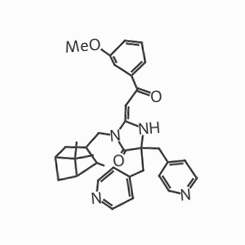 COc1cccc(C(=O)C=C2NC(Cc3ccncc3)(Cc3ccncc3)C(=O)N2CC2CC3CC(C2C)C3(C)C)c1